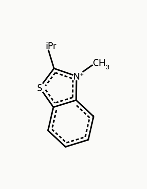 CC(C)c1sc2ccccc2[n+]1C